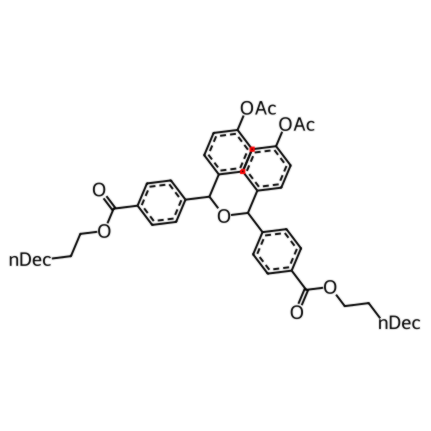 CCCCCCCCCCCCOC(=O)c1ccc(C(OC(c2ccc(OC(C)=O)cc2)c2ccc(C(=O)OCCCCCCCCCCCC)cc2)c2ccc(OC(C)=O)cc2)cc1